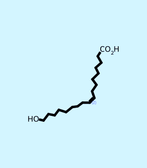 O=C(O)CCCCCCC/C=C\CCCCCCCCO